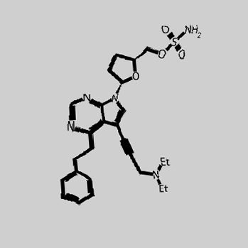 CCN(CC)CC#Cc1cn([C@H]2CC[C@@H](COS(N)(=O)=O)O2)c2ncnc(CCc3ccccc3)c12